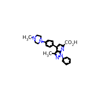 Cc1nn(-c2ccccc2)c2nc(C(=O)O)cc(-c3ccc(N4CCN(C)CC4)cc3)c12